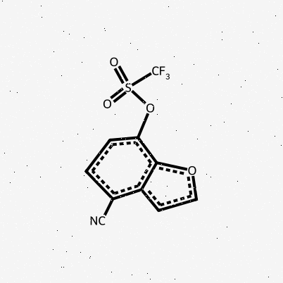 N#Cc1ccc(OS(=O)(=O)C(F)(F)F)c2occc12